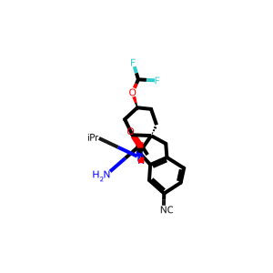 [C-]#[N+]c1ccc2c(c1)C1(N=C(N)N(C(C)C)C1=O)[C@]1(CC[C@H](OC(F)F)CC1)C2